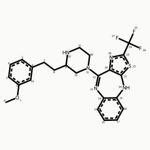 COc1cccc(CCC2CN(C3=Nc4ccccc4Nc4sc(C(F)(F)F)nc43)CCN2)c1